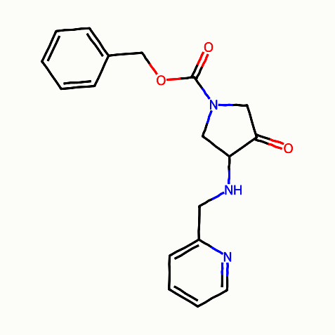 O=C1CN(C(=O)OCc2ccccc2)CC1NCc1ccccn1